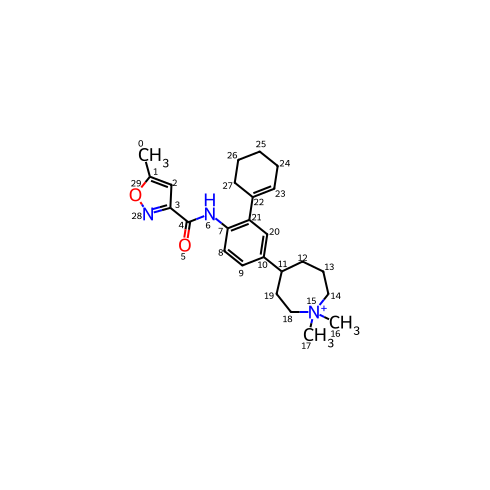 Cc1cc(C(=O)Nc2ccc(C3CCC[N+](C)(C)CC3)cc2C2=CCCCC2)no1